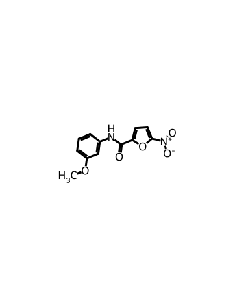 COc1cccc(NC(=O)c2ccc([N+](=O)[O-])o2)c1